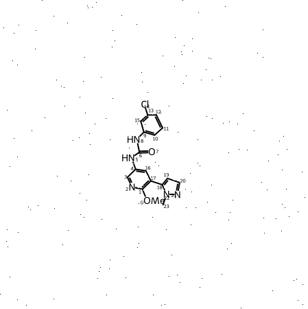 COc1ncc(NC(=O)Nc2cccc(Cl)c2)cc1-c1ccnn1C